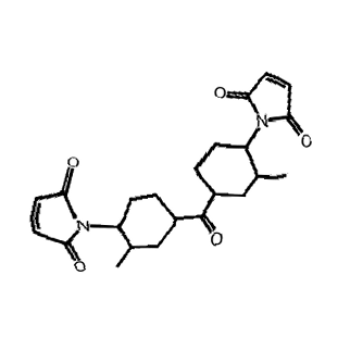 CC1CC(C(=O)C2CCC(N3C(=O)C=CC3=O)C(C)C2)CCC1N1C(=O)C=CC1=O